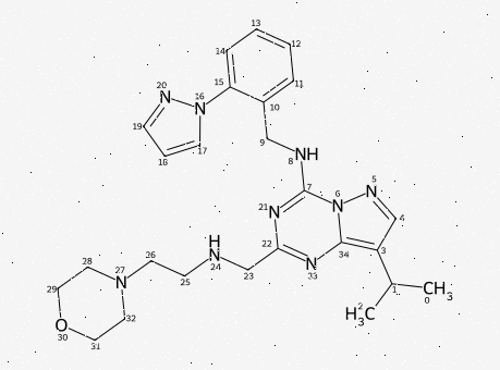 CC(C)c1cnn2c(NCc3ccccc3-n3cccn3)nc(CNCCN3CCOCC3)nc12